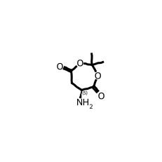 CC1(C)OC(=O)C[C@H](N)C(=O)O1